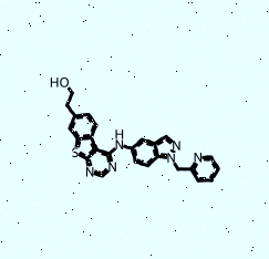 OCCc1ccc2c(c1)sc1ncnc(Nc3ccc4c(cnn4Cc4ccccn4)c3)c12